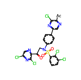 CC(=O)c1ncc(-c2ccc(N(CC(=O)c3ncc(Cl)nc3Cl)S(=O)(=O)c3cccc(Cl)c3Cl)cc2)nc1Cl